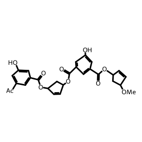 COC1C=CC(OC(=O)c2cc(O)cc(C(=O)OC3C=CC(OC(=O)c4cc(O)cc(C(C)=O)c4)C3)c2)C1